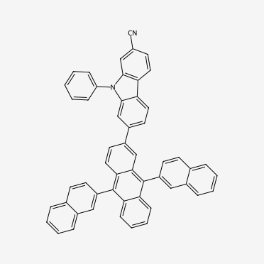 N#Cc1ccc2c3ccc(-c4ccc5c(-c6ccc7ccccc7c6)c6ccccc6c(-c6ccc7ccccc7c6)c5c4)cc3n(-c3ccccc3)c2c1